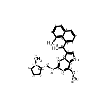 Cc1cccc2cccc(C(O)c3cnc4c(OC(C)(C)C)nc(OC[C@@H]5CCCN5C)nn34)c12